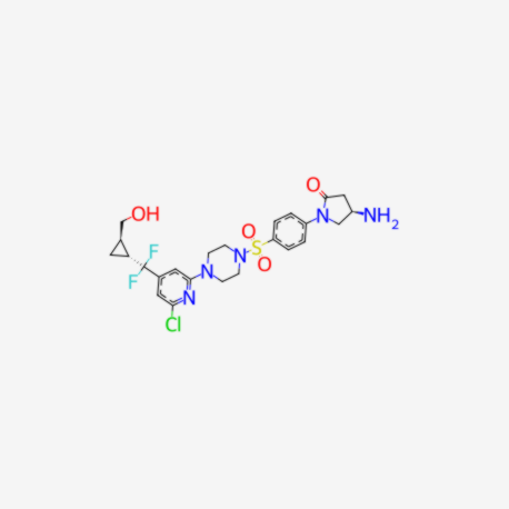 N[C@@H]1CC(=O)N(c2ccc(S(=O)(=O)N3CCN(c4cc(C(F)(F)[C@@H]5C[C@H]5CO)cc(Cl)n4)CC3)cc2)C1